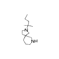 CCCC(C)(C)N1CCC2(CCCNC2)C1